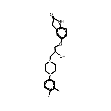 O=C1Cc2cc(OC[C@@H](O)CN3CCN(c4ccc(F)c(F)c4)CC3)ccc2N1